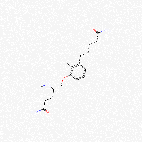 Cc1c(CCCCC(N)=O)cccc1OC[C@H](CCC(N)=O)NC=O